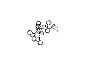 C=C(/N=C(\N=C(/C)c1cccc2c1-c1ccccc1C2(C)C)c1ccccc1)n1c2ccccc2c2ccc3c4ccccc4n(C4C=C(c5ccccc5)C=CC4)c3c21